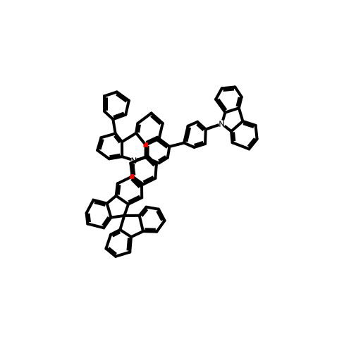 c1ccc(-c2ccccc2-c2c(-c3ccccc3)cccc2N(c2ccc(-c3ccc(-n4c5ccccc5c5ccccc54)cc3)cc2)c2ccc3c(c2)-c2ccccc2C32c3ccccc3-c3ccccc32)cc1